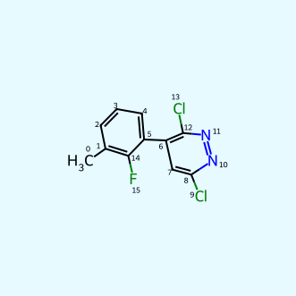 Cc1cccc(-c2cc(Cl)nnc2Cl)c1F